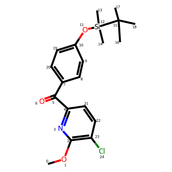 COc1nc(C(=O)c2ccc(O[Si](C)(C)C(C)(C)C)cc2)ccc1Cl